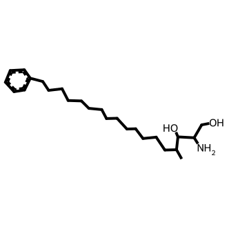 CC(CCCCCCCCCCCCCCc1ccccc1)C(O)C(N)CO